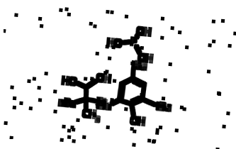 CC(C)(C)c1cc(C(C)(C)C)c(O)c(C(C)(C)C)c1.CCCCC(C)(CC)C(O)O.OP(O)O